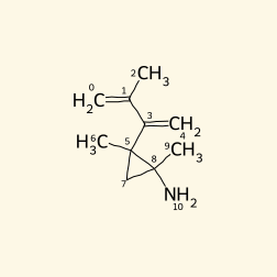 C=C(C)C(=C)C1(C)CC1(C)N